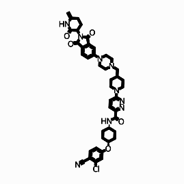 C=C1CCC(N2C(=O)c3ccc(N4CCN(CC5CCN(c6ccc(C(=O)N[C@H]7CC[C@H](Oc8ccc(C#N)c(Cl)c8)CC7)nn6)CC5)CC4)cc3C2=O)C(=O)N1